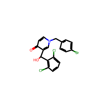 O=c1ccn(Cc2ccc(Br)cc2)cc1C(O)c1c(Cl)cccc1Cl